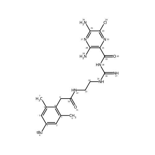 Cc1cc(C(C)(C)C)cc(C)c1CC(=O)NCCNC(=N)NC(=O)c1nc(Cl)c(N)nc1N